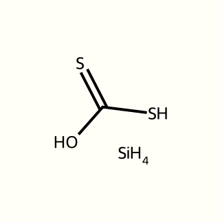 OC(=S)S.[SiH4]